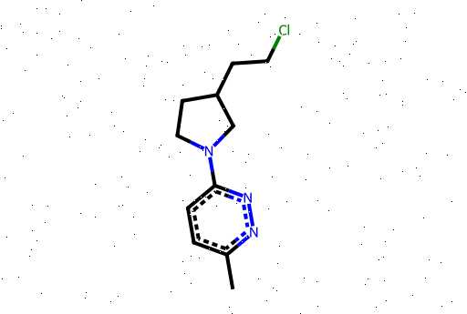 Cc1ccc(N2CCC(CCCl)C2)nn1